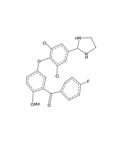 COc1ccc(Oc2c(Cl)cc(C3NCCN3)cc2Cl)cc1C(=O)c1ccc(F)cc1